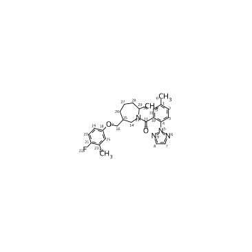 Cc1ccc(-n2nccn2)c(C(=O)N2CC(COc3ccc(F)c(C)c3)CCCC2C)c1